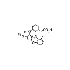 CCC(F)(F)C1=CC(Oc2cccc(C)c2N)=CC1OC1=CC(CC(=O)O)CC=C1